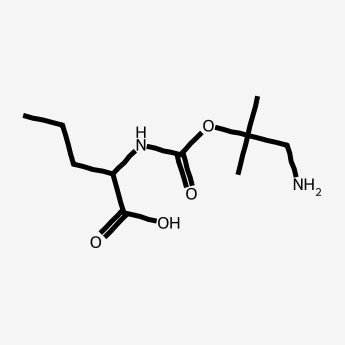 CCCC(NC(=O)OC(C)(C)CN)C(=O)O